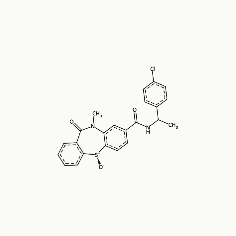 CC(NC(=O)c1ccc2c(c1)N(C)C(=O)c1ccccc1[S@+]2[O-])c1ccc(Cl)cc1